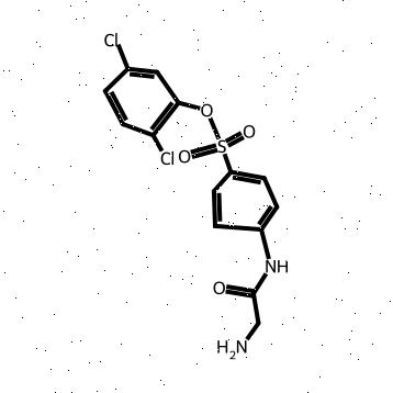 NCC(=O)Nc1ccc(S(=O)(=O)Oc2cc(Cl)ccc2Cl)cc1